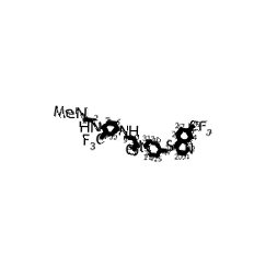 CNCCNc1ccc(NCCC(=O)N2CCC(CSc3ccnc4cc(C(F)(F)F)ccc34)CC2)cc1C(F)(F)F